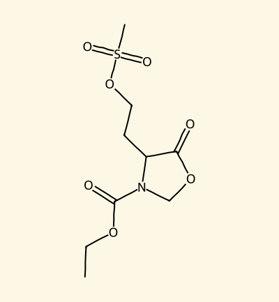 CCOC(=O)N1COC(=O)C1CCOS(C)(=O)=O